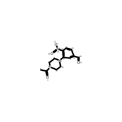 CC(=O)N1CCN(c2cc(C=O)ccc2[N+](=O)[O-])CC1